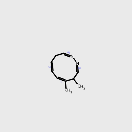 C/C1=C/C=C\C/C=N\N=C/C1C